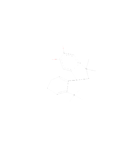 CC1(C)C[C@]2(CC(C)(C)c3cc(O)c(O)cc32)C2=C[C@@H](O)[C@@H](O)C=C21